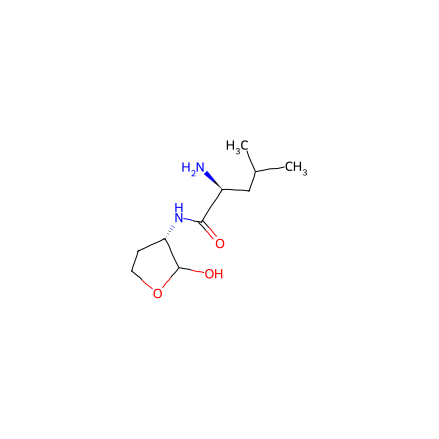 CC(C)C[C@H](N)C(=O)N[C@H]1CCOC1O